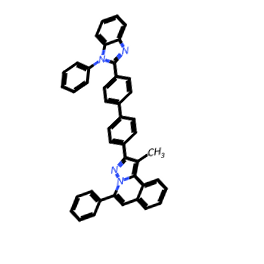 Cc1c(-c2ccc(-c3ccc(-c4nc5ccccc5n4-c4ccccc4)cc3)cc2)nn2c(-c3ccccc3)cc3ccccc3c12